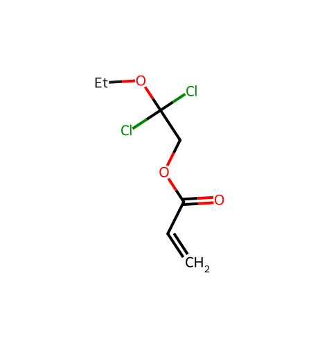 C=CC(=O)OCC(Cl)(Cl)OCC